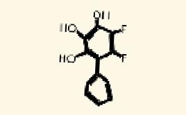 Oc1c(O)c(F)c(F)c(-c2ccccc2)c1O